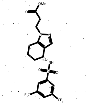 COC(=O)CCn1ncc2c1CCC[C@H]2NS(=O)(=O)c1cc(C(F)(F)F)cc(C(F)(F)F)c1